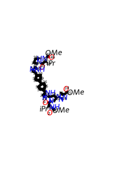 COC(=O)N[C@H](C(=O)N1C[C@@H](n2cc(C(=O)OC)nn2)CC1c1ncc(-c2ccc(-c3ccc(-c4cnc([C@@H]5CCCN5C(=O)[C@@H](NC(=O)OC)C(C)C)[nH]4)cc3)cc2)[nH]1)C(C)C